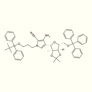 CC1(C)O[C@@H]2[C@@H](COC(c3ccccc3)(c3ccccc3)c3ccccc3)O[C@@H](c3cn(CCCO[Si](c4ccccc4)(c4ccccc4)C(C)(C)C)c(C#N)c3N)[C@]2(C)O1